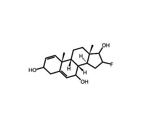 C[C@]12C=CC(O)CC1=CC(O)[C@@H]1[C@H]2CC[C@]2(C)C(O)C(F)C[C@@H]12